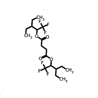 CCC(CC)C(OC(=O)CCC(=O)OC(C(CC)CC)C(F)(F)F)C(F)(F)F